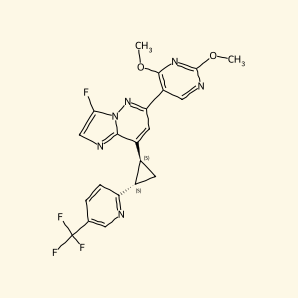 COc1ncc(-c2cc([C@H]3C[C@@H]3c3ccc(C(F)(F)F)cn3)c3ncc(F)n3n2)c(OC)n1